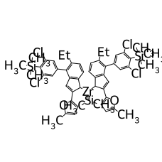 CCc1ccc2c(c1-c1cc(Cl)c([Si](C)(C)C)c(Cl)c1)C=C(c1ccc(C)o1)[CH]2[Zr]([CH]1C(c2ccc(C)o2)=Cc2c1ccc(CC)c2-c1cc(Cl)c([Si](C)(C)C)c(Cl)c1)=[Si](C)C